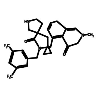 CN1C=C2CC=CC(CN(Cc3cc(C(F)(F)F)cc(C(F)(F)F)c3)C(=O)C3(CC4CC4)CCNC3)=C2C(=O)C1